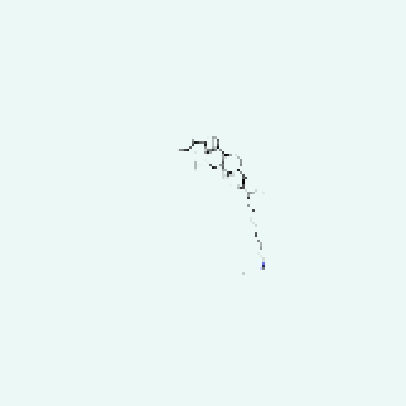 CCCCCCCC/C=C\CCCCCCCC(=O)C1CC[C@@]2(C)C(CC[C@H]3[C@@H]4CC[C@H]([C@H](C)C=CC(=O)O)[C@@]4(C)CC[C@@H]32)C1